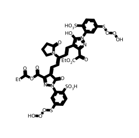 CCOC(=O)C(=O)c1nn(-c2cc(SOOO)ccc2S(=O)(=O)O)c(O)c1/C=C/C(=C/C=C1\C(=O)N(c2cc(SOOO)ccc2S(=O)(=O)O)N=C1C(=O)OC(=O)CC)N1CCCC1=O